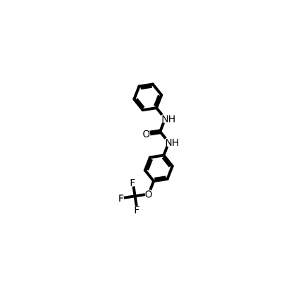 O=C(Nc1ccccc1)Nc1ccc(OC(F)(F)F)cc1